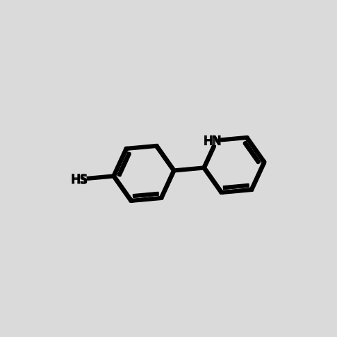 SC1=CCC(C2C=CC=CN2)C=C1